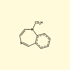 O=C(O)N1C=CN=Cc2ccccc21